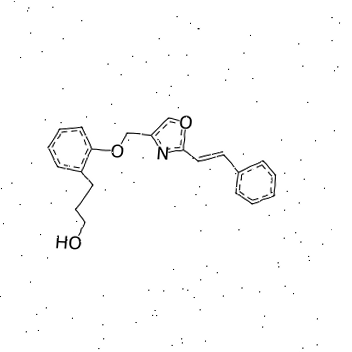 OCCCc1ccccc1OCc1coc(/C=C/c2ccccc2)n1